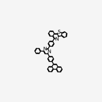 c1ccc(-c2cc(-c3ccc(-c4cc5ccccc5c5ccccc45)cc3)nc(-c3ccc(-c4nc5c6ccccc6sc5c5ccccc45)cc3)n2)cc1